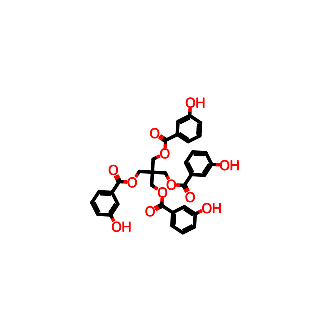 O=C(OCC(COC(=O)c1cccc(O)c1)(COC(=O)c1cccc(O)c1)COC(=O)c1cccc(O)c1)c1cccc(O)c1